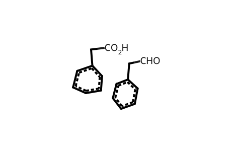 O=C(O)Cc1ccccc1.O=CCc1ccccc1